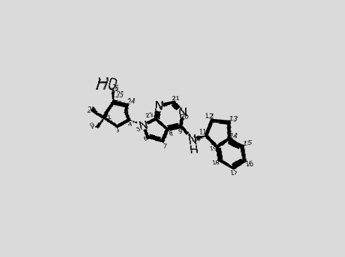 [CH2][C@]1(C)C[C@@H](n2ccc3c(N[C@H]4CCc5ccccc54)ncnc32)C[C@@H]1O